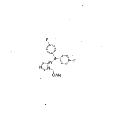 CC(C)B(c1ccc(F)cc1)c1ccc(F)cc1.COCn1ccnc1